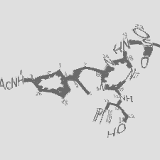 CC(=O)Nc1ccc(C(C)Cc2nc(NC(CO)CC(C)C)nc(NS(C)(=O)=O)n2)cc1